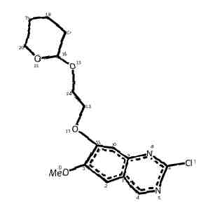 COc1cc2cnc(Cl)nc2cc1OCCOC1CCCCO1